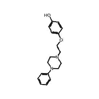 Oc1ccc(OCCN2CCN(c3ccccc3)CC2)cc1